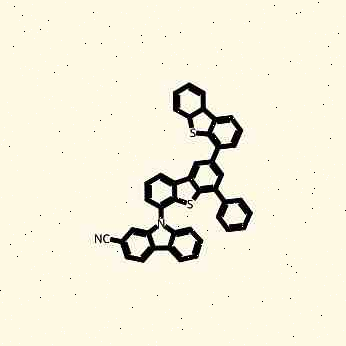 N#Cc1ccc2c3ccccc3n(-c3cccc4c3sc3c(-c5ccccc5)cc(-c5cccc6c5SC5C=CC=CC65)cc34)c2c1